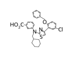 O=C(O)c1cccc(N(CC2CCCCC2)c2nc(-c3cc(Cl)ccc3OCc3ccccc3)cs2)c1